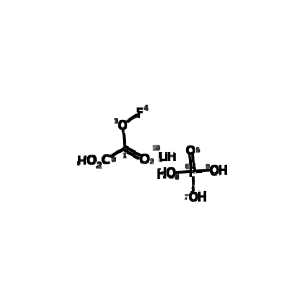 O=C(O)C(=O)OF.O=P(O)(O)O.[LiH]